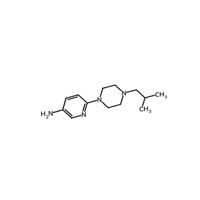 C[C](C)CN1CCN(c2ccc(N)cn2)CC1